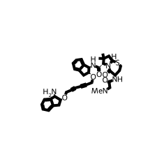 CNCC(=O)N[C@H]1CCS[C@H]2CC(C)(C)[C@@H](C(=O)N[C@H]3c4ccccc4C[C@H]3OCC#CC#CCO[C@@H]3Cc4ccccc4[C@@H]3N)N2C1=O